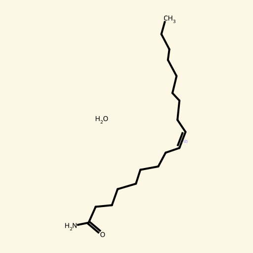 CCCCCCCC/C=C\CCCCCCCC(N)=O.O